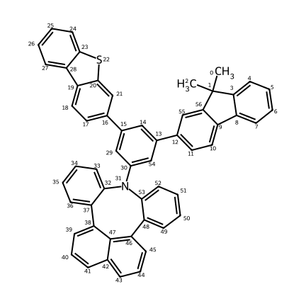 CC1(C)c2ccccc2-c2ccc(-c3cc(-c4ccc5c(c4)sc4ccccc45)cc(N4c5ccccc5-c5cccc6cccc(c56)-c5ccccc54)c3)cc21